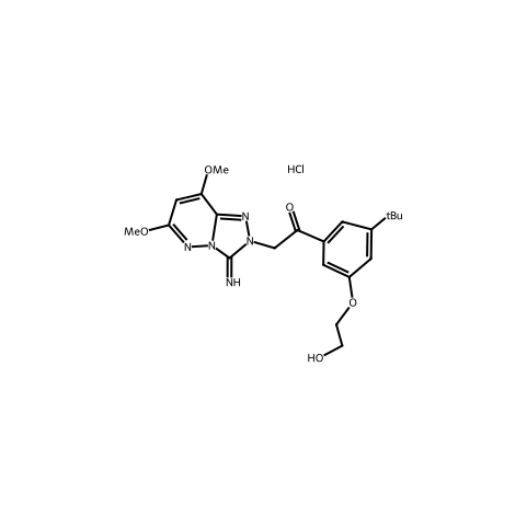 COc1cc(OC)c2nn(CC(=O)c3cc(OCCO)cc(C(C)(C)C)c3)c(=N)n2n1.Cl